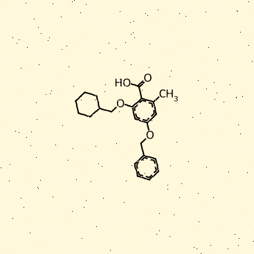 Cc1cc(OCc2ccccc2)cc(OCC2CCCCC2)c1C(=O)O